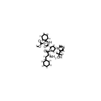 COC(=O)SC1(NC(=O)[C@@H]2C[C@H](n3nncc3C(C)(C)O)CN2C(=O)[C@H](N)CC2CCCCC2)CCCCC1